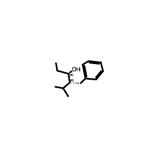 CC[C@@H](O)[C@H](Cc1ccccc1)C(C)C